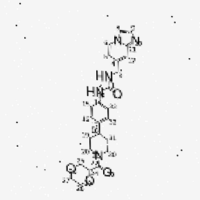 O=C(NCc1ccn2ccnc2c1)Nc1ccc(C2CCN(C(=O)C3COCCO3)CC2)cc1